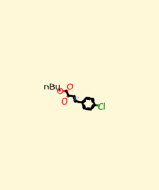 CCCCOC(=O)C(=O)/C=C/c1ccc(Cl)cc1